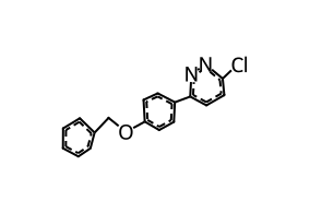 Clc1ccc(-c2ccc(OCc3ccccc3)cc2)nn1